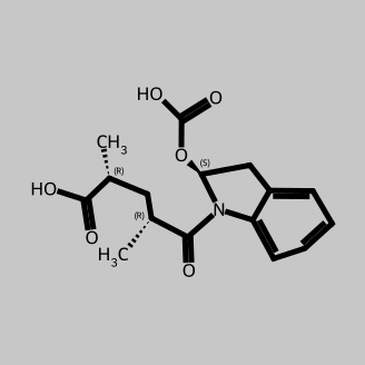 C[C@H](C[C@@H](C)C(=O)N1c2ccccc2C[C@@H]1OC(=O)O)C(=O)O